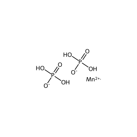 O=P([O-])(O)O.O=P([O-])(O)O.[Mn+2]